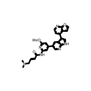 COc1cc(-c2cnc3[nH]cc(-c4ccnc5occc45)c3c2)cc(NC(=O)C=CCN(C)C)n1